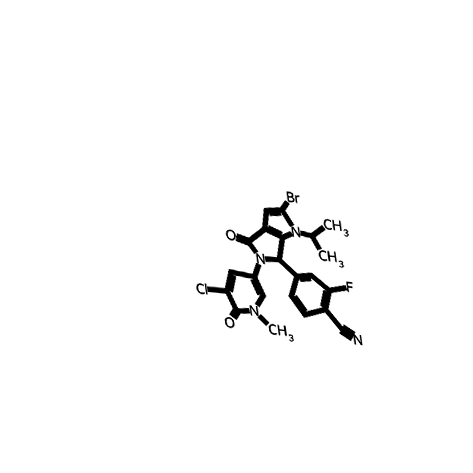 CC(C)n1c(Br)cc2c1C(c1ccc(C#N)c(F)c1)N(c1cc(Cl)c(=O)n(C)c1)C2=O